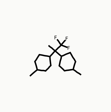 CC1CCC(C(C)(C2CCC(C)CC2)C(F)(F)F)CC1